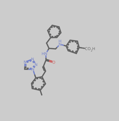 Cc1ccc(-n2cnnn2)c(/C=C/C(=O)NC(CNc2ccc(C(=O)O)cc2)Cc2ccccc2)c1